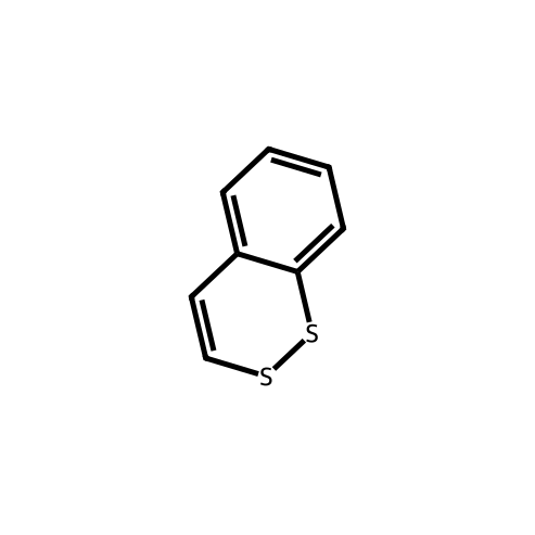 C1=Cc2ccccc2SS1